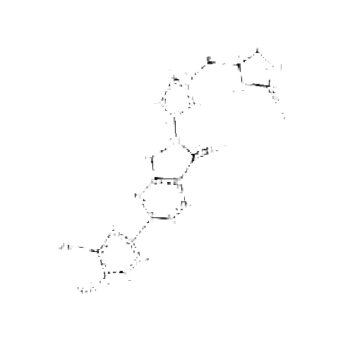 COc1cc(-c2ccc3c(n2)CN(c2cnn(CC4CNC(=O)O4)c2)C3=O)cnc1OC